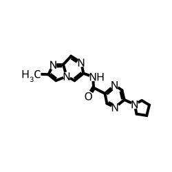 Cc1cn2cc(NC(=O)c3cnc(N4CCCC4)cn3)ncc2n1